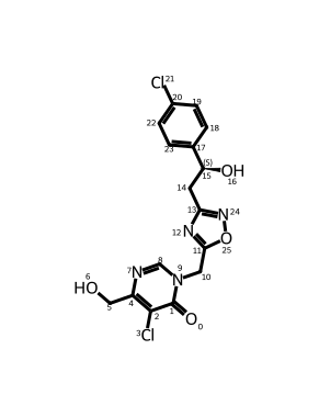 O=c1c(Cl)c(CO)ncn1Cc1nc(C[C@H](O)c2ccc(Cl)cc2)no1